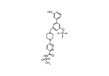 CS(=O)(=O)NC(=O)c1ccc(N2CCN(Cc3cc(OC(F)(F)F)cc(-c4cncc(O)c4)c3)CC2)nn1